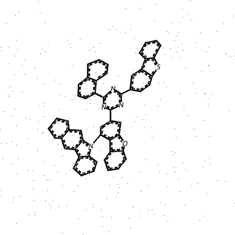 c1ccc2cc3c(cc2c1)c1ccccc1n3-c1cc(-c2nc(-c3ccc4sc5ccccc5c4c3)nc(-c3cccc4ccccc34)n2)cc2oc3ccccc3c12